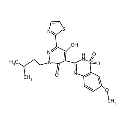 COc1ccc2c(c1)S(=O)(=O)NC(c1c(O)c(-c3nccs3)nn(CCC(C)C)c1=O)=N2